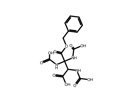 O=C(O)NC(C(=O)O)C(NC(=O)O)(NC(=O)O)C(=O)OCc1ccccc1